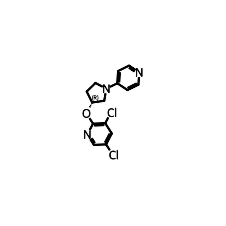 Clc1cnc(O[C@@H]2CCN(c3ccncc3)C2)c(Cl)c1